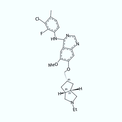 CCN1C[C@H]2C[C@@H](COc3cc4ncnc(Nc5ccc(C)c(Cl)c5F)c4cc3OC)C[C@H]2C1